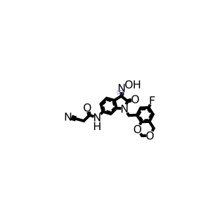 N#CCC(=O)Nc1ccc2c(c1)N(Cc1cc(F)cc3c1OCOC3)C(=O)/C2=N\O